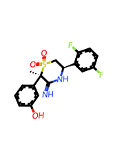 C[C@@]1(c2cccc(O)c2)C(=N)N[C@H](c2cc(F)ccc2F)CS1(=O)=O